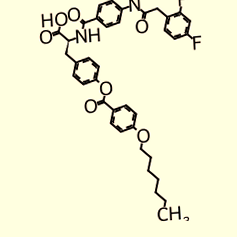 CCCCCCCOc1ccc(C(=O)Oc2ccc(C[C@H](NC(=O)c3ccc(NC(=O)Cc4ccc(F)cc4F)cc3)C(=O)O)cc2)cc1